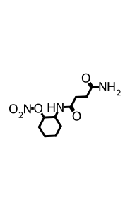 NC(=O)CCC(=O)NC1CCCCC1O[N+](=O)[O-]